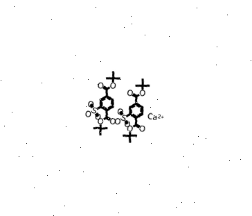 CC(C)(C)OC(=O)c1ccc(C(=O)OC(C)(C)C)c(S(=O)(=O)[O-])c1.CC(C)(C)OC(=O)c1ccc(C(=O)OC(C)(C)C)c(S(=O)(=O)[O-])c1.[Ca+2]